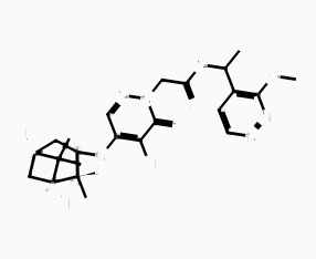 COc1nnccc1C(C)NC(=O)Cn1ncc(N[C@@H]2C[C@@H]3C[C@H]([C@H]2C)C3(C)C)c(Cl)c1=O